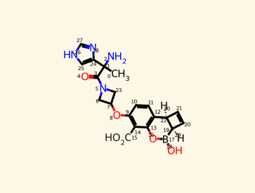 CC(N)(C(=O)N1CC(Oc2ccc3c(c2C(=O)O)OB(O)[C@@H]2C=C[C@H]32)C1)c1c[nH]cn1